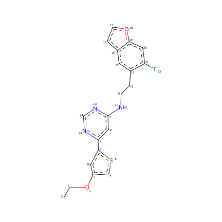 CCOc1csc(-c2cc(NCCc3cc4ccoc4cc3F)ncn2)c1